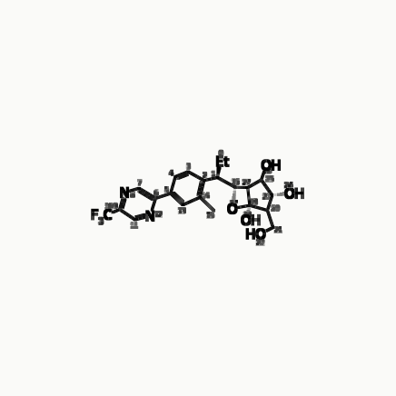 CC[C@H](c1ccc(-c2cnc(C(F)(F)F)cn2)cc1C)[C@H]1O[C@]2(O)C(CO)[C@@H](O)C(O)C12